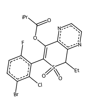 CCC1c2nccnc2C(OC(=O)C(C)C)=C(c2c(F)ccc(Br)c2Cl)S1(=O)=O